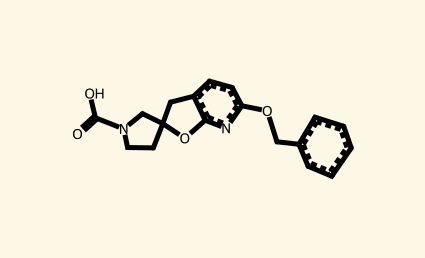 O=C(O)N1CCC2(Cc3ccc(OCc4ccccc4)nc3O2)C1